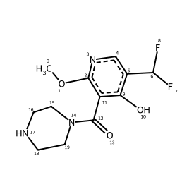 COc1ncc(C(F)F)c(O)c1C(=O)N1CCNCC1